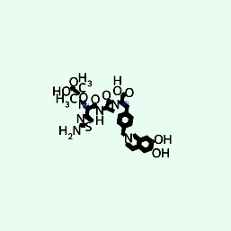 CC(C)(O/N=C(\C(=O)NC1CN(/C(=C\c2ccc(C[n+]3ccc4cc(O)c(O)cc4c3)cc2)C(=O)O)C1=O)c1csc(N)n1)C(=O)O